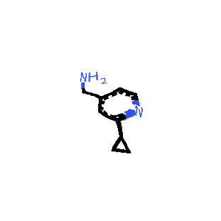 NCc1ccnc(C2CC2)c1